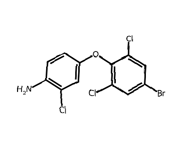 Nc1ccc(Oc2c(Cl)cc(Br)cc2Cl)cc1Cl